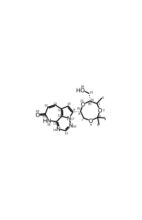 CC1OC(C)(C)OC[C@H](c2cc3c4c(ncnn24)NC(=O)C=C3)O[C@@H]1CO